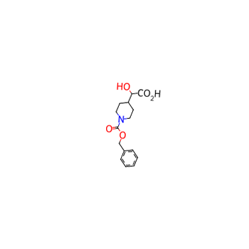 O=C(O)C(O)C1CCN(C(=O)OCc2ccccc2)CC1